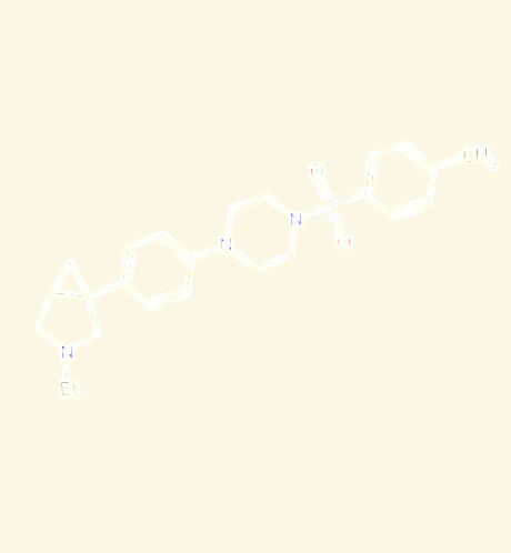 CCN1CC2CC2(c2ccc(N3CCN(S(=O)(=O)c4ccc(C)cc4)CC3)cc2)C1